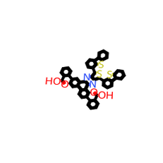 O=C(O)c1ccccc1-c1ccc2c3ccc(-c4ccccc4C(=O)O)cc3c3nc4c(-c5cccc6c5sc5ccccc56)sc(-c5cccc6c5sc5ccccc56)c4nc3c2c1